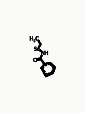 CC[Se]NC(=O)c1ccccc1